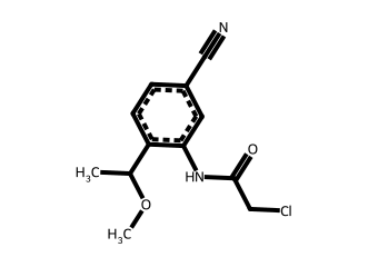 COC(C)c1ccc(C#N)cc1NC(=O)CCl